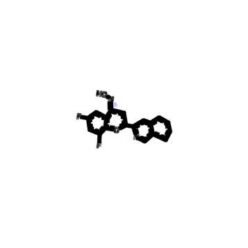 O/N=c1/cc(-c2cc3ccccc3cn2)oc2c(F)cc(F)cc12